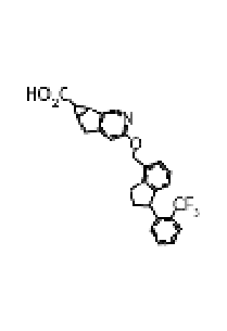 O=C(O)C1C2Cc3cc(OCc4cccc5c4CCC5c4ccccc4C(F)(F)F)ncc3C21